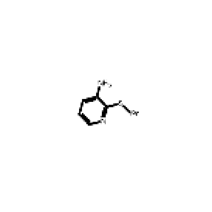 CC(C)Sc1ncccc1N